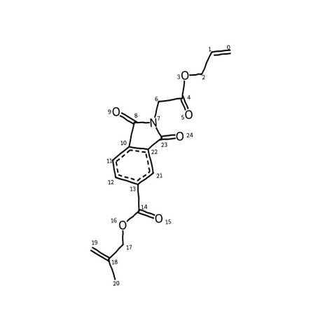 C=CCOC(=O)CN1C(=O)c2ccc(C(=O)OCC(=C)C)cc2C1=O